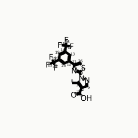 Cc1c(C(=O)O)cnn1-c1nc(-c2cc(C(F)(F)F)cc(C(F)(F)F)c2)cs1